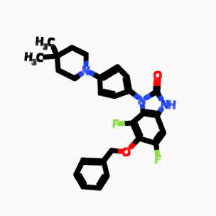 CC1(C)CCN(c2ccc(-n3c(=O)[nH]c4cc(F)c(OCc5ccccc5)c(F)c43)cc2)CC1